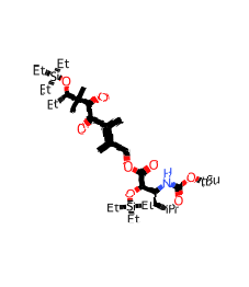 CCC(O[Si](CC)(CC)CC)C(C)(C)C(=O)C(=O)/C(C)=C(\C)COC(=O)C(O[Si](CC)(CC)CC)[C@H](CC(C)C)NC(=O)OC(C)(C)C